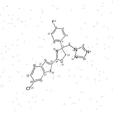 Fc1ccc(C2(Cn3cncn3)COC(c3cc4ccc(Cl)cc4s3)=N2)cc1